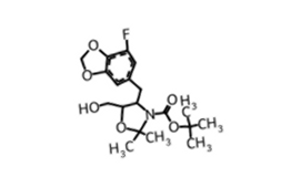 CC(C)(C)OC(=O)N1C(Cc2cc(F)c3c(c2)OCO3)C(CO)OC1(C)C